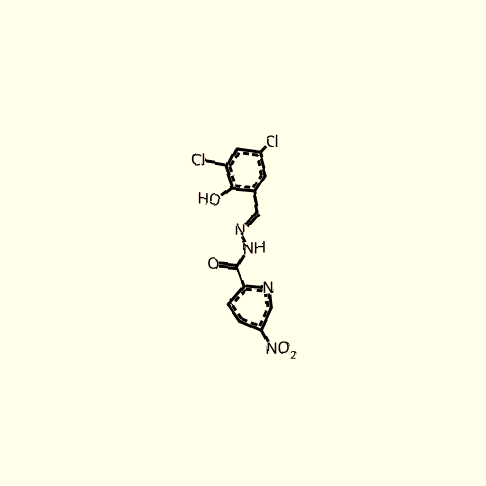 O=C(NN=Cc1cc(Cl)cc(Cl)c1O)c1ccc([N+](=O)[O-])cn1